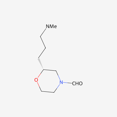 CNCCC[C@@H]1CN(C=O)CCO1